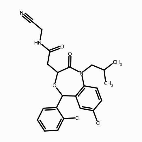 CC(C)CN1C(=O)C(CC(=O)NCC#N)OC(c2ccccc2Cl)c2cc(Cl)ccc21